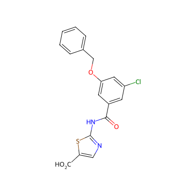 O=C(Nc1ncc(C(=O)O)s1)c1cc(Cl)cc(OCc2ccccc2)c1